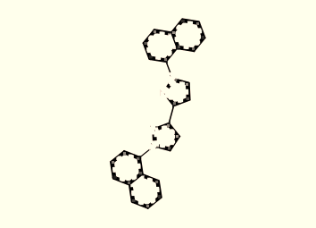 c1ccc2c(-n3ccc(-c4ccn(-c5cccc6ccccc56)n4)n3)cccc2c1